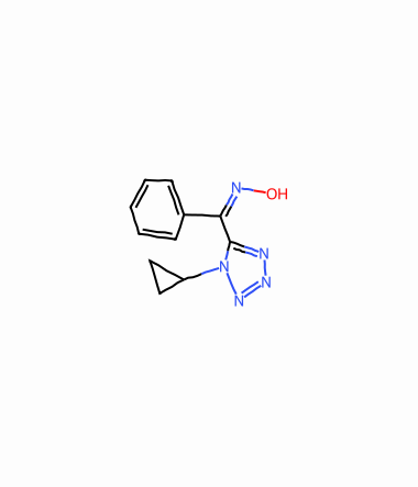 ON=C(c1ccccc1)c1nnnn1C1CC1